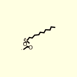 [CH2]C(=O)O[Si](C)(C)CCCCCCCCCC